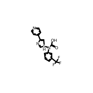 O=C(O)N(c1cccc(C(F)(F)F)c1)[SH]1C=NC(c2ccncc2)=C1